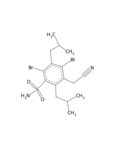 CC(C)Cc1c(Br)c(CC#N)c(CC(C)C)c(S(N)(=O)=O)c1Br